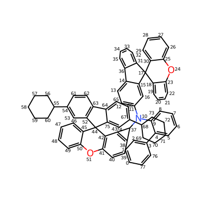 c1ccc(-c2ccccc2N(c2ccc3c(c2)C2(c4ccccc4Oc4ccccc42)c2ccccc2-3)C2c3ccc4c(c32)C2(c3ccccc3O4)c3cc(C4CCCCC4)ccc3-c3ccc(C4CCCCC4)cc32)cc1